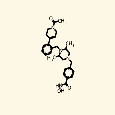 CC(=O)N1CC=C(c2ccccc2CN2C(C)CN(Cc3ccc(C(=O)NO)cc3)CC2C)CC1